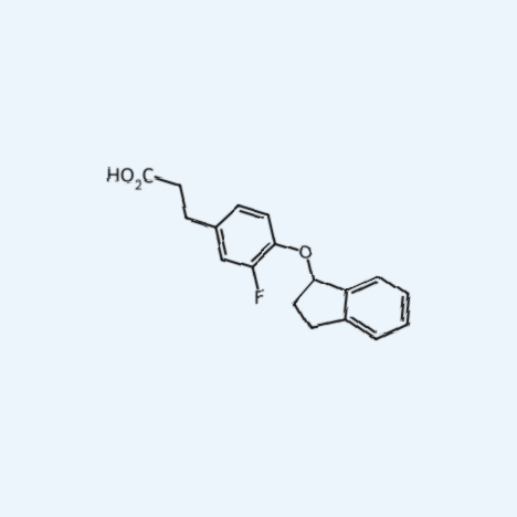 O=C(O)CCc1ccc(OC2CCc3ccccc32)c(F)c1